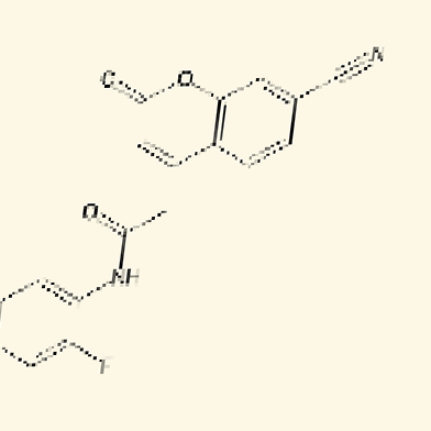 N#Cc1ccc2c(CC(=O)Nc3ccccc3F)cc(=O)oc2c1